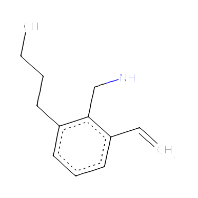 C=Cc1cccc(CCCC)c1CN